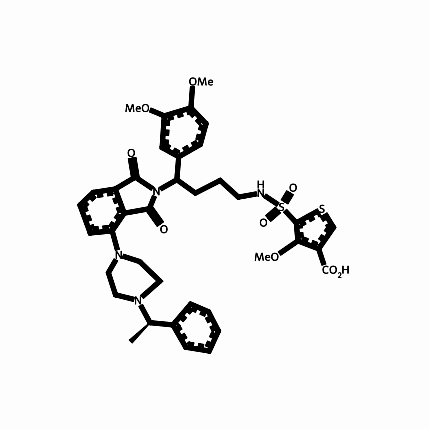 COc1ccc(C(CCCNS(=O)(=O)c2scc(C(=O)O)c2OC)N2C(=O)c3cccc(N4CCN([C@H](C)c5ccccc5)CC4)c3C2=O)cc1OC